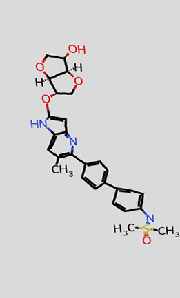 Cc1cc2[nH]c(O[C@@H]3CO[C@H]4[C@@H]3OC[C@H]4O)cc2nc1-c1ccc(-c2ccc(N=S(C)(C)=O)cc2)cc1